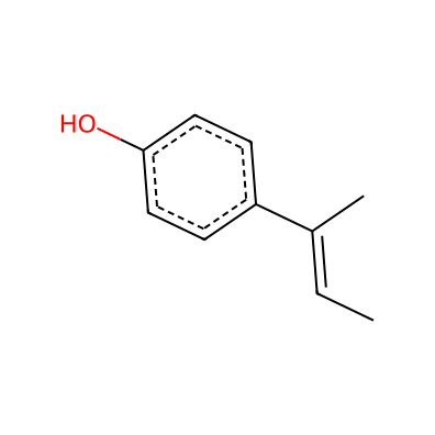 C/C=C(\C)c1ccc(O)cc1